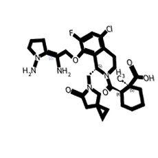 C[C@]1(C(=O)O)CCCC[C@H]1C(=O)N1CCc2c(Cl)cc(F)c(OC/C(N)=C3\CCCN3N)c2[C@H]1CN1CC2(CC2)CC1=O